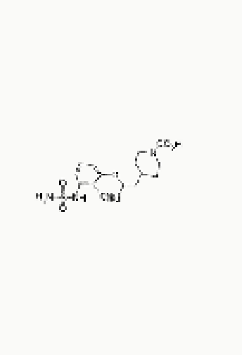 CC(C)(C)C(CC1CCN(C(=O)O)CC1)Oc1cccc(NS(N)(=O)=O)c1C#N